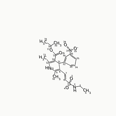 CCNS(=O)(=O)C=CC1=C(C)NC(C)=C(C(=O)OC(C)C)C1c1cccc([N+](=O)[O-])c1